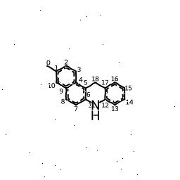 Cc1ccc2c3c(ccc2c1)Nc1ccccc1C3